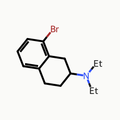 CCN(CC)C1CCc2cccc(Br)c2C1